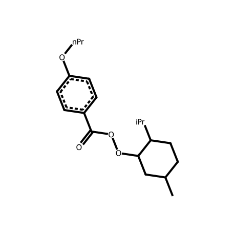 CCCOc1ccc(C(=O)OO[C]2CC(C)CCC2C(C)C)cc1